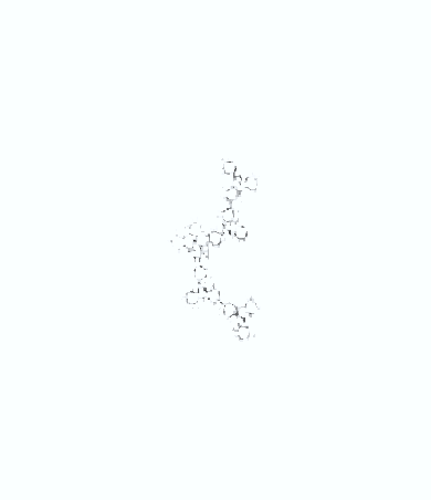 c1ccc(-c2ccccc2-c2nc(-c3ccc(-n4c5ccccc5c5cc(-c6ccc7c(c6)c6ccccc6n7-c6ccccc6)ccc54)cc3)nc(-c3ccc(-n4c5ccccc5c5cc(-c6ccc7c(c6)c6ccccc6n7-c6ccccc6)ccc54)cc3)n2)cc1